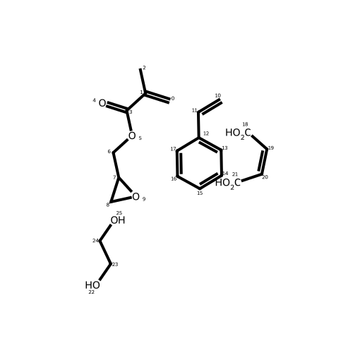 C=C(C)C(=O)OCC1CO1.C=Cc1ccccc1.O=C(O)/C=C\C(=O)O.OCCO